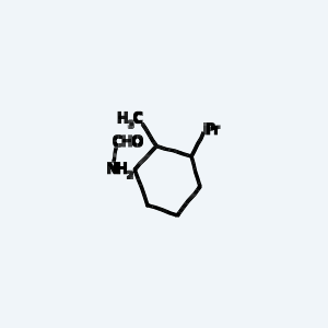 CC(C)C1CCCCC1C.NC=O